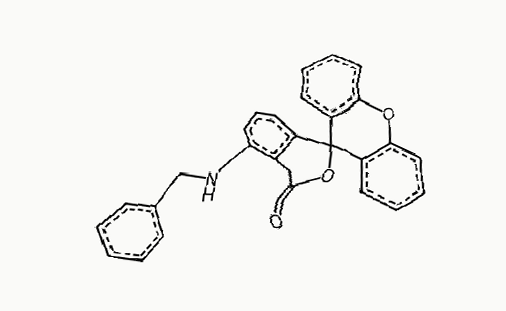 O=C1OC2(c3ccccc3Oc3ccccc32)c2cccc(NCc3ccccc3)c21